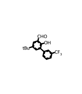 CC(C)(C)c1cc(C=O)c(O)c(-c2cccc(C(F)(F)F)c2)c1